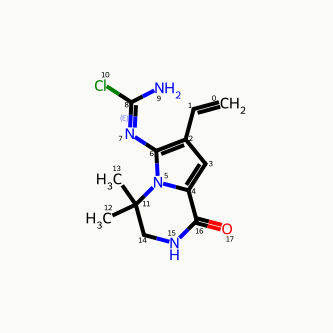 C=Cc1cc2n(c1/N=C(\N)Cl)C(C)(C)CNC2=O